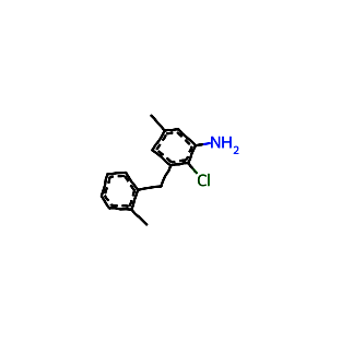 Cc1cc(N)c(Cl)c(Cc2ccccc2C)c1